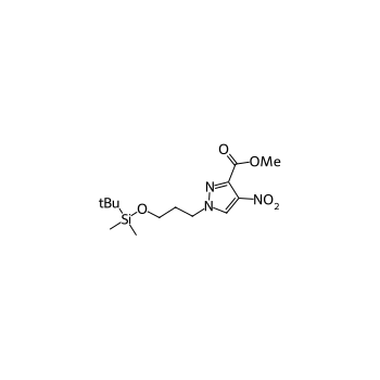 COC(=O)c1nn(CCCO[Si](C)(C)C(C)(C)C)cc1[N+](=O)[O-]